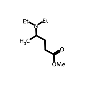 CCN(CC)C(C)CCC(=O)OC